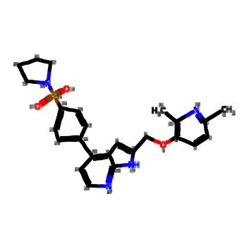 Cc1ccc(OCc2cc3c(-c4ccc(S(=O)(=O)N5CCCC5)cc4)ccnc3[nH]2)c(C)n1